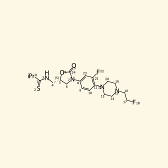 CC(C)C(=S)NC[C@H]1CN(c2ccc(N3CCN(CCF)CC3)c(F)c2)C(=O)O1